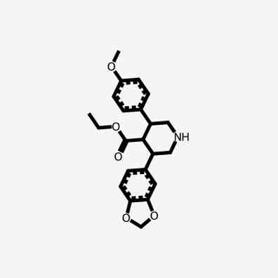 CCOC(=O)C1C(c2ccc(OC)cc2)CNCC1c1ccc2c(c1)OCO2